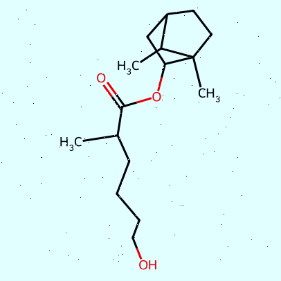 CC(CCCCO)C(=O)OC1CC2CCC1(C)C2C